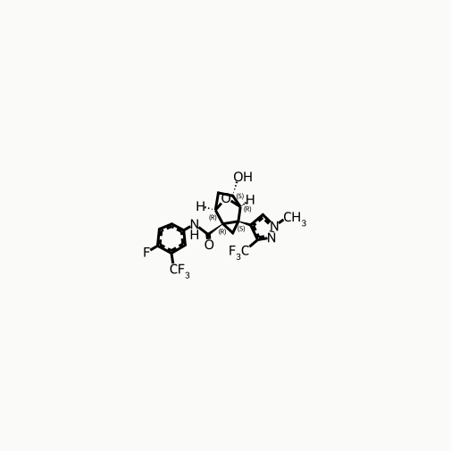 Cn1cc([C@@]23C[C@]2(C(=O)Nc2ccc(F)c(C(F)(F)F)c2)[C@H]2C[C@H](O)[C@@H]3O2)c(C(F)(F)F)n1